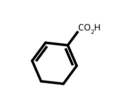 O=C(O)C1=CCCC=C1